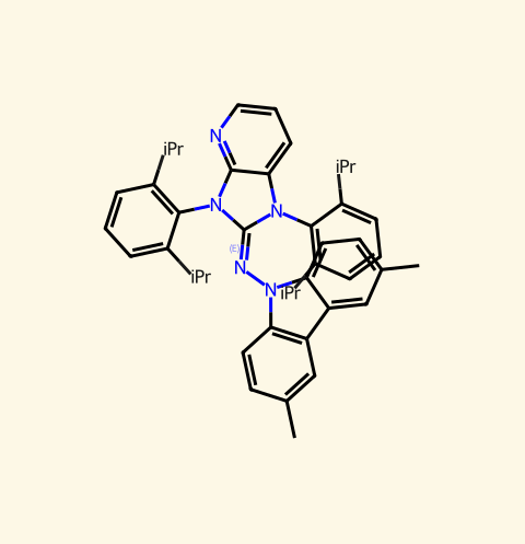 Cc1ccc2c(c1)c1cc(C)ccc1n2/N=c1\n(-c2c(C(C)C)cccc2C(C)C)c2cccnc2n1-c1c(C(C)C)cccc1C(C)C